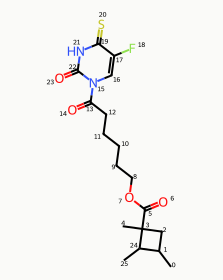 CC1CC(C)(C(=O)OCCCCCC(=O)n2cc(F)c(=S)[nH]c2=O)C1C